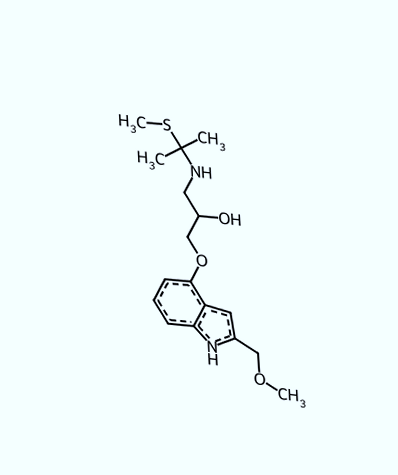 COCc1cc2c(OCC(O)CNC(C)(C)SC)cccc2[nH]1